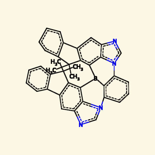 CC1(C)c2ccccc2-c2cc3ncn4c3c(c21)B1c2c-4cccc2-n2cnc3cc4c(c1c32)C(C)(C)c1ccccc1-4